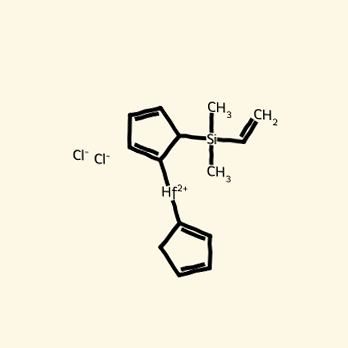 C=C[Si](C)(C)C1C=CC=[C]1[Hf+2][C]1=CC=CC1.[Cl-].[Cl-]